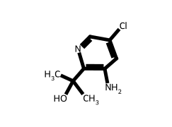 CC(C)(O)c1ncc(Cl)cc1N